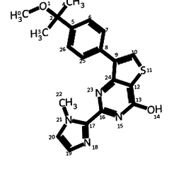 COC(C)(C)c1ccc(-c2csc3c(O)nc(-c4nccn4C)nc23)cc1